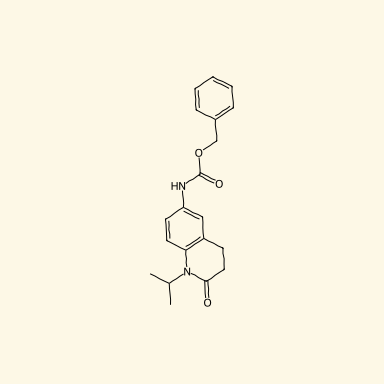 CC(C)N1C(=O)CCc2cc(NC(=O)OCc3ccccc3)ccc21